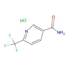 Cl.NC(=O)c1ccc(C(F)(F)F)nc1